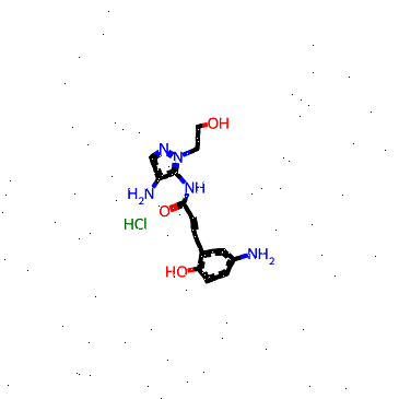 Cl.Nc1ccc(O)c(/C=C/C(=O)Nc2c(N)cnn2CCO)c1